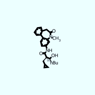 CCCC[C@H](O)[C@@H](CC1CC1)C(=O)Nc1ccc2c(c1)N(C)C(=O)Cc1ccccc1-2